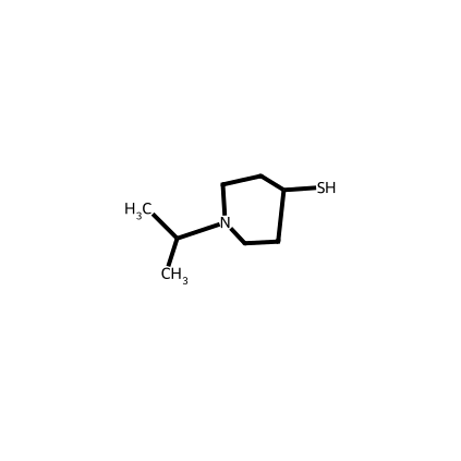 CC(C)N1CCC(S)CC1